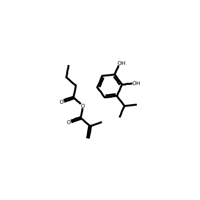 C=C(C)C(=O)OC(=O)CCC.CC(C)c1cccc(O)c1O